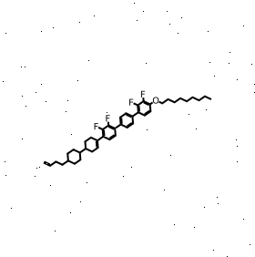 C=CCCC1CCC(C2CC=C(c3ccc(-c4ccc(-c5ccc(OCCCCCCCCC)c(F)c5F)cc4)c(F)c3F)CC2)CC1